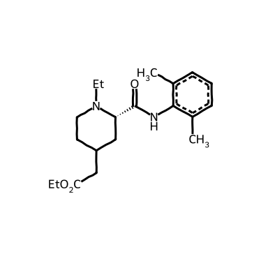 CCOC(=O)CC1CCN(CC)[C@H](C(=O)Nc2c(C)cccc2C)C1